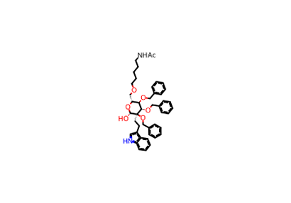 CC(=O)NCCCCCOC[C@H]1O[C@@H](O)[C@](CCc2c[nH]c3ccccc23)(OCc2ccccc2)[C@@H](OCc2ccccc2)[C@@H]1OCc1ccccc1